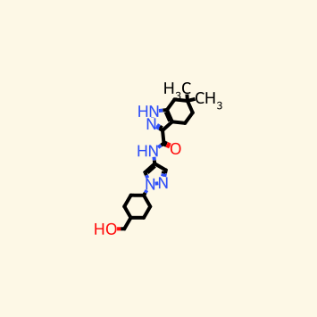 CC1(C)CCc2c(C(=O)Nc3cnn(C4CCC(CO)CC4)c3)n[nH]c2C1